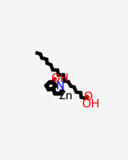 CCCCCCCCCCCCCCCCCC(=O)O.Oc1cccc2cccnc12.[Zn]